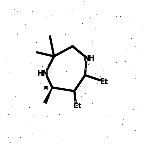 CCC1NCC(C)(C)N[C@H](C)C1CC